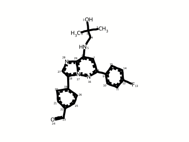 CC(C)(O)CNc1cc(-c2ccc(F)cc2)nn2c(-c3ccc(C=O)cc3)cnc12